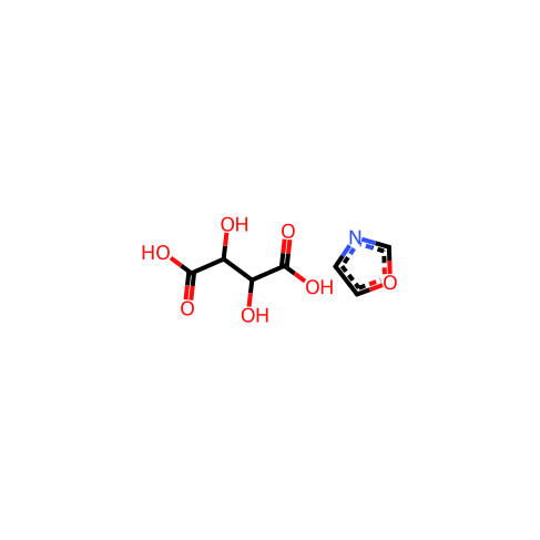 O=C(O)C(O)C(O)C(=O)O.c1cocn1